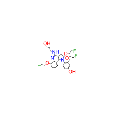 Cc1cc(O)ccc1N1c2c(c(NCCCO)nc3c(OCCF)cccc23)CC1(OCCF)OCCF